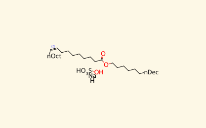 CCCCCCCC/C=C\CCCCCCCC(=O)OCCCCCCCCCCCCCCCC.O=S(=O)(O)O.[NaH]